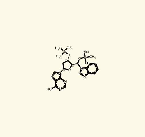 CC(C)(C)[Si](C)(C)OC([C@H]1O[C@@H](n2cnc3c(O)ncnc32)C[C@@H]1O[Si](C)(C)C(C)(C)C)n1nnc2ccccc21